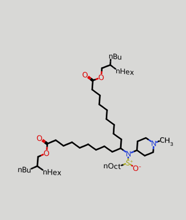 CCCCCCCC[S+]([O-])N(C(CCCCCCCCC(=O)OCC(CCCC)CCCCCC)CCCCCCCCC(=O)OCC(CCCC)CCCCCC)C1CCN(C)CC1